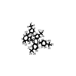 Cc1cc(C(C)(C)C)ccc1N1c2cc(C(C)(C)C)cc3c2B(c2cc(C(C)(C)C)ccc2N3c2ccc(C(C)(C)C)cc2)c2sc3c(c21)C(C)(C)CCC3(C)C